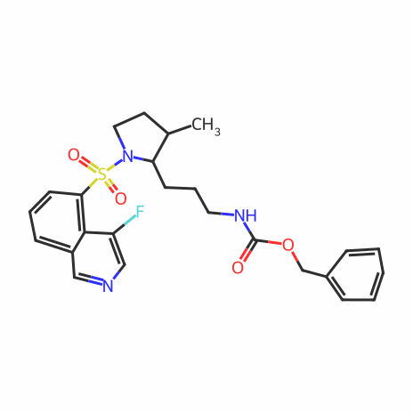 CC1CCN(S(=O)(=O)c2cccc3cncc(F)c23)C1CCCNC(=O)OCc1ccccc1